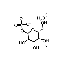 O.O=P([O-])([O-])O[C@H]1O[C@H](CO)[C@@H](O)[C@H](O)[C@H]1O.[K+].[K+]